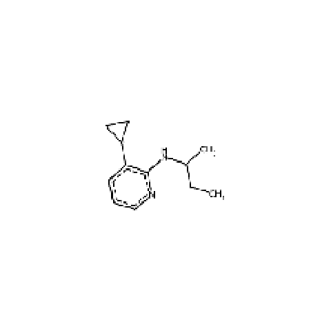 CCC(C)Nc1ncccc1[C]1CC1